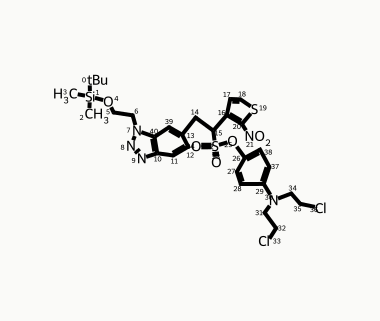 CC(C)(C)[Si](C)(C)OCCn1nnc2ccc(CC(c3ccsc3[N+](=O)[O-])S(=O)(=O)Oc3ccc(N(CCCl)CCCl)cc3)cc21